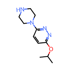 CC(C)Oc1ccc(N2CCNCC2)nn1